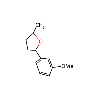 COc1cccc(C2CCC(C)O2)c1